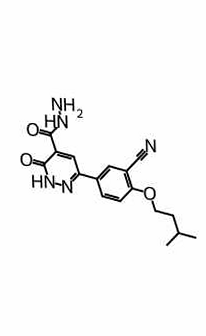 CC(C)CCOc1ccc(-c2cc(C(=O)NN)c(=O)[nH]n2)cc1C#N